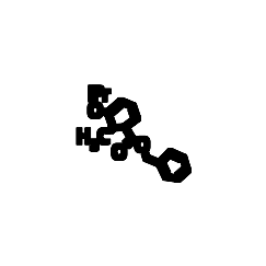 CC(C)OC1=CC=CC(C(=O)OCc2ccccc2)C1C